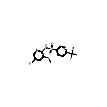 COc1cc(Br)cnc1NS(=O)(=O)c1ccc(C(F)(F)F)nc1